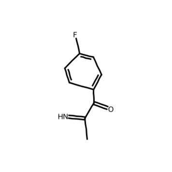 CC(=N)C(=O)c1ccc(F)cc1